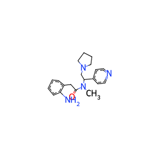 CN(C(=O)Cc1ccccc1N)C(CN1CCCC1)c1ccncc1